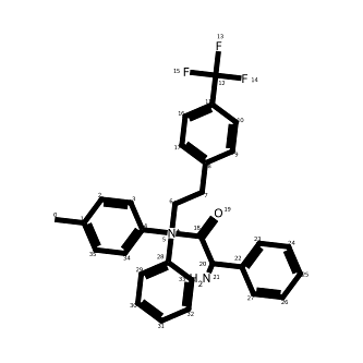 Cc1ccc([N+](CCc2ccc(C(F)(F)F)cc2)(C(=O)C(N)c2ccccc2)c2ccccc2)cc1